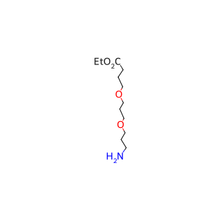 CCOC(=O)CCCOCCCOCCCN